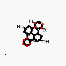 CCc1ccccc1-c1cc(O)cc(-c2ccccc2CC)c1-c1c(-c2ccccc2CC)cc(O)cc1-c1ccccc1CC